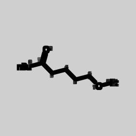 CCCCC(=O)CCC[CH]OCC